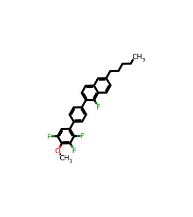 CCCCCc1ccc2c(F)c(-c3ccc(-c4cc(F)c(OC)c(F)c4F)cc3)ccc2c1